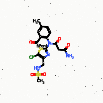 CCCCCC(=O)c1cc(C)ccc1N(C(=O)CC(N)=O)c1nc(CNS(C)(=O)=O)c(Cl)s1